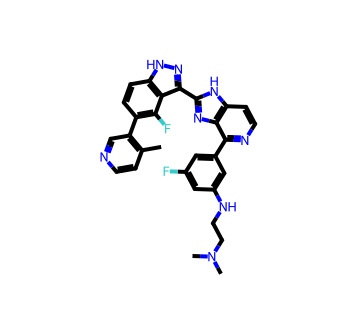 Cc1ccncc1-c1ccc2[nH]nc(-c3nc4c(-c5cc(F)cc(NCCN(C)C)c5)nccc4[nH]3)c2c1F